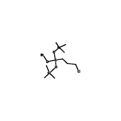 CCO[Si](CCCCl)(O[Si](C)(C)C)O[Si](C)(C)C